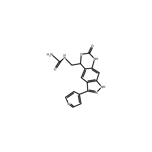 NC(=O)NCC1OC(=O)Nc2cc3[nH]nc(-c4ccncc4)c3cc21